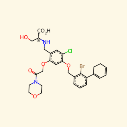 O=C(O)[C@H](CO)NCc1cc(Cl)c(OCc2cccc(C3=CC=CCC3)c2Br)cc1OCC(=O)N1CCOCC1